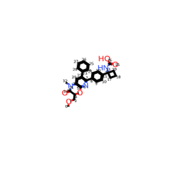 COCC1Oc2nc(-c3ccc(C4(NC(=O)O)CCC4)cc3)c(-c3ccccc3)cc2N(C)C1=O